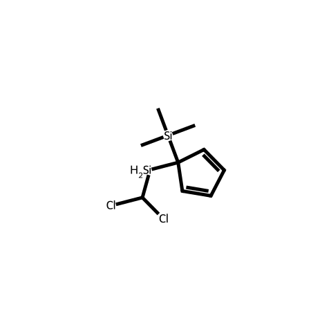 C[Si](C)(C)C1([SiH2]C(Cl)Cl)C=CC=C1